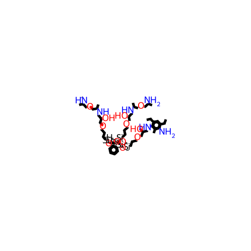 CCc1cc(CC)c(NCC(O)COCCC[Si](C)(C)O[Si](O[SiH2]CCCOCC(O)CNC(C)COCC(C)N)(O[Si](C)(C)O[Si](C)(C)CCCOCC(O)CNC(C)COCC(C)NC)c2ccccc2)c(C)c1N